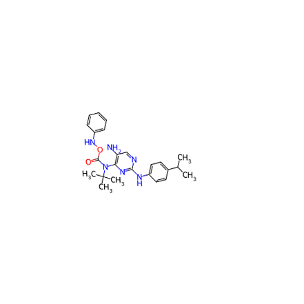 CC(C)c1ccc(Nc2ncc(N)c(N(C(=O)ONc3ccccc3)C(C)(C)C)n2)cc1